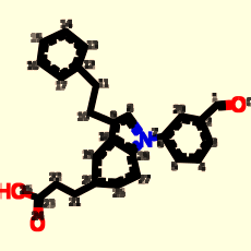 O=Cc1cccc(-n2cc(CCc3ccccc3)c3cc(CCC(=O)O)ccc32)c1